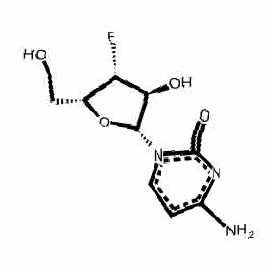 Nc1ccn([C@@H]2O[C@H](CO)[C@H](F)[C@H]2O)c(=O)n1